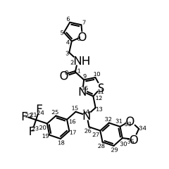 O=C(NCc1ccco1)c1csc(CN(Cc2cccc(C(F)(F)F)c2)Cc2ccc3c(c2)OCO3)n1